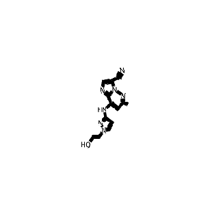 Cc1cc(Nc2ccn(CCO)n2)c2ncc(C#N)n2n1